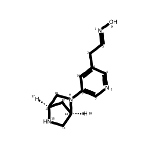 ON=CCc1cncc(N2C[C@H]3C[C@@H]2CN3)c1